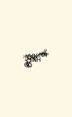 CN(C)c1cc2c(cc1SC(=N)NCCNCC(C)(C)C)OCO2